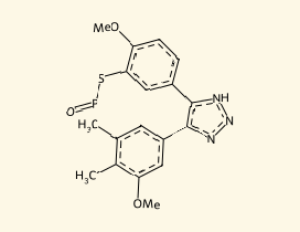 COc1ccc(-c2[nH]nnc2-c2cc(C)c(C)c(OC)c2)cc1SP=O